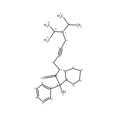 CC(C)N(CC#CCCC(=O)C(O)(c1ccccc1)C1CCCCC1)C(C)C